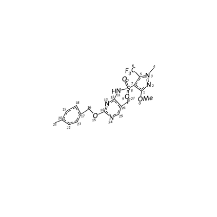 COc1nn(C)c(C(F)(F)F)c1S(=O)(=O)Nc1nc(OCc2ccc(C)cc2)ncc1F